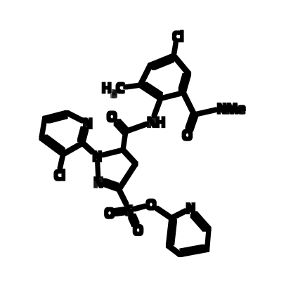 CNC(=O)c1cc(Cl)cc(C)c1NC(=O)C1CC(S(=O)(=O)Oc2ccccn2)=NN1c1ncccc1Cl